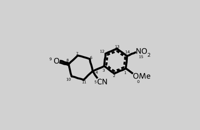 COc1cc(C2(C#N)CCC(=O)CC2)ccc1[N+](=O)[O-]